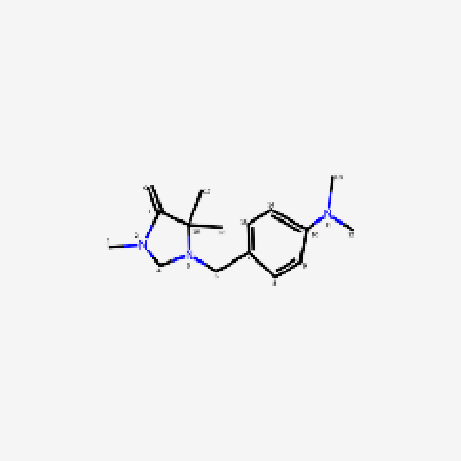 C=C1N(C)CN(Cc2ccc(N(C)C)cc2)C1(C)C